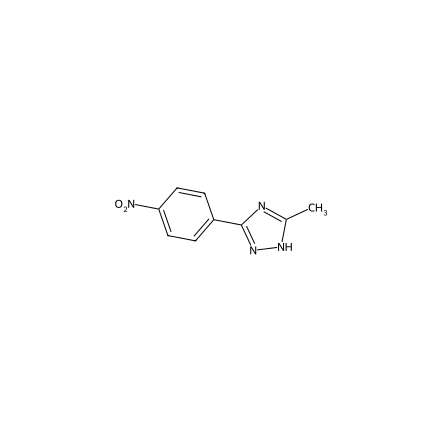 Cc1nc(-c2ccc([N+](=O)[O-])cc2)n[nH]1